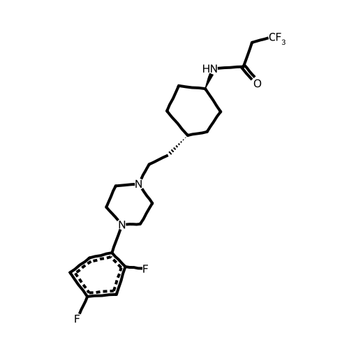 O=C(CC(F)(F)F)N[C@H]1CC[C@H](CCN2CCN(c3ccc(F)cc3F)CC2)CC1